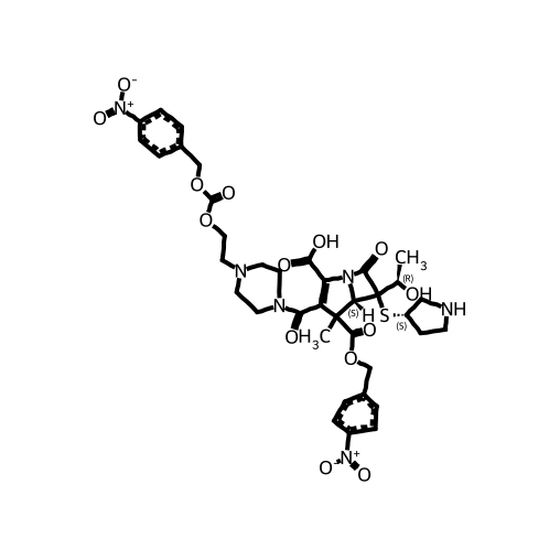 C[C@@H](O)C1(S[C@H]2CCNC2)C(=O)N2C(C(=O)O)=C(C(=O)N3CCN(CCOC(=O)OCc4ccc([N+](=O)[O-])cc4)CC3)C(C)(C(=O)OCc3ccc([N+](=O)[O-])cc3)[C@H]21